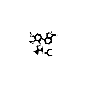 CCC(CC)OC(=O)C1(COc2c(-c3cccc4c3COC4=O)ccc(OC)c2OC)CC1